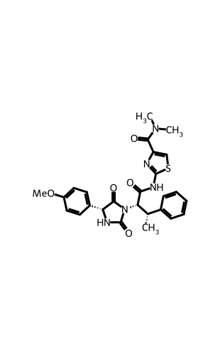 COc1ccc([C@H]2NC(=O)N([C@H](C(=O)Nc3nc(C(=O)N(C)C)cs3)[C@@H](C)c3ccccc3)C2=O)cc1